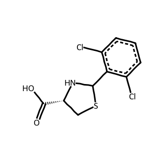 O=C(O)[C@H]1CSC(c2c(Cl)cccc2Cl)N1